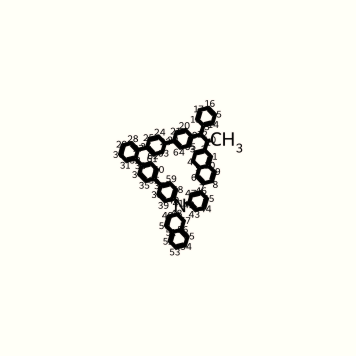 CC(C1=CCC2C=CC=CC2=C1)C(c1ccccc1)c1ccc(C2C=CC(c3ccccc3-c3ccc(-c4ccc(N(c5ccccc5)C5C=Cc6ccccc6C5)cc4)cc3)=CC2)cc1